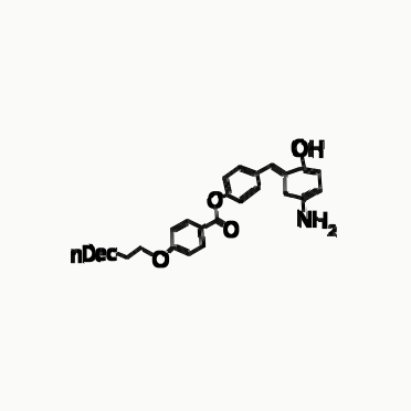 CCCCCCCCCCCCOc1ccc(C(=O)Oc2ccc(C=C3CC(N)=CC=C3O)cc2)cc1